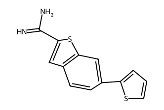 N=C(N)c1cc2ccc(-c3cccs3)cc2s1